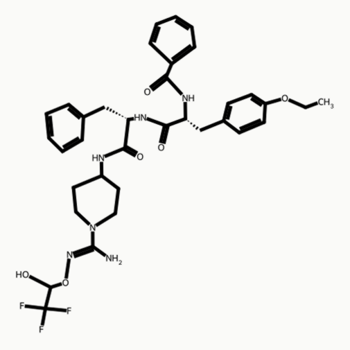 CCOc1ccc(C[C@@H](NC(=O)c2ccccc2)C(=O)N[C@@H](Cc2ccccc2)C(=O)NC2CCN(/C(N)=N/OC(O)C(F)(F)F)CC2)cc1